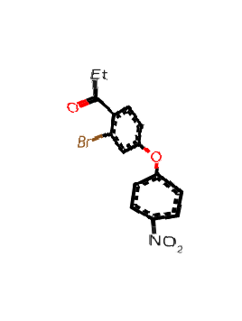 CCC(=O)c1ccc(Oc2ccc([N+](=O)[O-])cc2)cc1Br